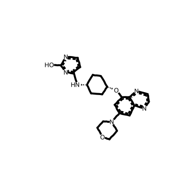 Oc1nccc(N[C@H]2CC[C@@H](Oc3cc(N4CCOCC4)cc4nccnc34)CC2)n1